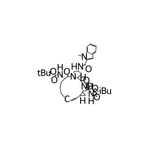 CCC(C)S(=O)(=O)NC(=O)[C@@]12C[C@H]1/C=C\CCCCC[C@H](NC(=O)OC(C)(C)C)C(=O)N1C[C@H](NC(=O)c3cc4ccccc4n3C)C[C@H]1C(=O)N2